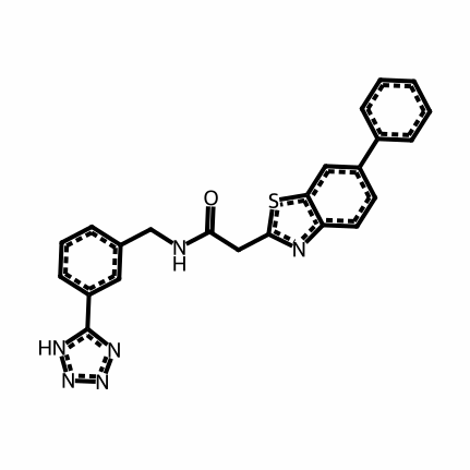 O=C(Cc1nc2ccc(-c3ccccc3)cc2s1)NCc1cccc(-c2nnn[nH]2)c1